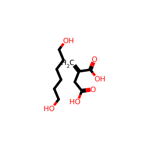 C=C(CC(=O)O)C(=O)O.OCCCCCCO